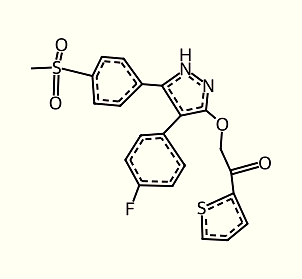 CS(=O)(=O)c1ccc(-c2[nH]nc(OCC(=O)c3cccs3)c2-c2ccc(F)cc2)cc1